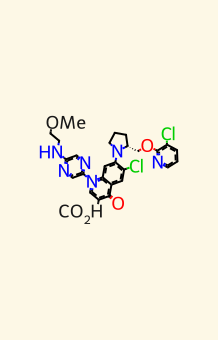 COCCNc1cnc(-n2cc(C(=O)O)c(=O)c3cc(Cl)c(N4CCC[C@@H]4COc4ncccc4Cl)cc32)cn1